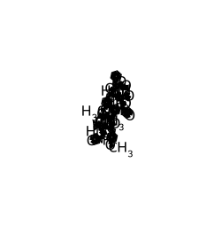 COc1ccc(CC(NC(=O)C(NC(=O)CN2CCOCC2)C2(O)CC2)C(=O)NC(Cc2cccc(-c3cc(CC(NC(=O)C(NC(=O)CN4CCOCC4)C4COC4)C(=O)NC(Cc4ccccc4)C(=O)C4(C)CO4)ccc3OC)c2)C(=O)C2(C)CO2)cc1